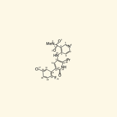 CNS(=O)(=O)c1cnccc1Nc1cc(-c2cc(Cl)ccc2F)c(=O)[nH]c1C(C)C